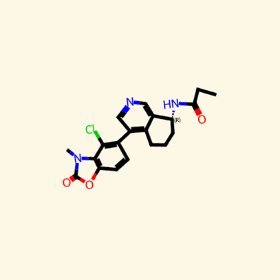 CCC(=O)N[C@@H]1CCCc2c(-c3ccc4oc(=O)n(C)c4c3Cl)cncc21